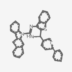 c1ccc(-c2ccc(C3NC(n4c5ccccc5c5cc6ccccc6cc54)=Nc4c3sc3ccccc43)cc2)cc1